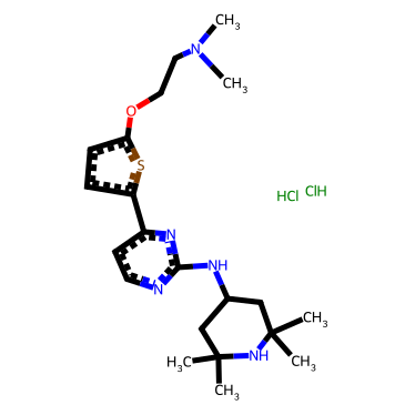 CN(C)CCOc1ccc(-c2ccnc(NC3CC(C)(C)NC(C)(C)C3)n2)s1.Cl.Cl